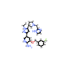 Nc1ncc(-c2cc3n(n2)CC[C@@]32CCN(Cc3ncc[nH]3)C2)cc1OCc1cccc(F)c1